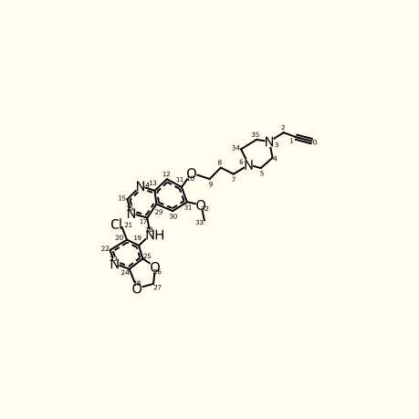 C#CCN1CCN(CCCOc2cc3ncnc(Nc4c(Cl)cnc5c4OCO5)c3cc2OC)CC1